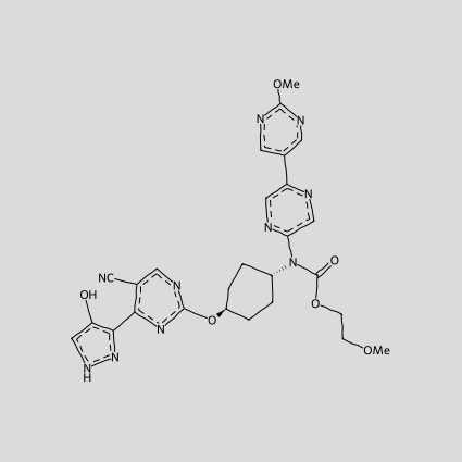 COCCOC(=O)N(c1cnc(-c2cnc(OC)nc2)cn1)[C@H]1CC[C@H](Oc2ncc(C#N)c(-c3n[nH]cc3O)n2)CC1